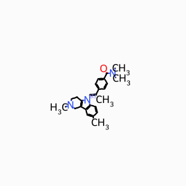 C/C(=C\n1c2c(c3cc(C)ccc31)CN(C)CC2)c1ccc(C(=O)N(C)C)cc1